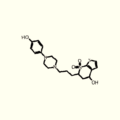 O=S1(=O)c2sccc2C(O)CC1CCCN1CCN(c2ccc(O)cc2)CC1